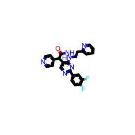 NC(=O)C(c1ccncc1)c1cnc(-c2ccc(F)c(F)c2)nc1NCCc1ccccn1